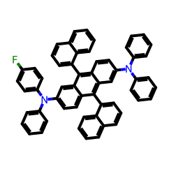 Fc1ccc(N(c2ccccc2)c2ccc3c(-c4cccc5ccccc45)c4cc(N(c5ccccc5)c5ccccc5)ccc4c(-c4cccc5ccccc45)c3c2)cc1